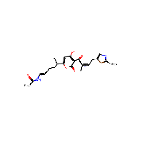 CCCCCCc1ncc(C/C=C(/C)C(=O)c2c(O)cc(C(C)CC/C=C/NC(=O)OC)oc2=O)s1